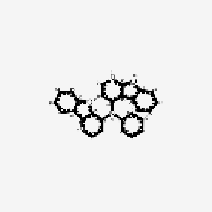 c1ccc(N(c2ccnc3c2oc2ccccc23)c2ccnc3oc4ccccc4c23)cc1